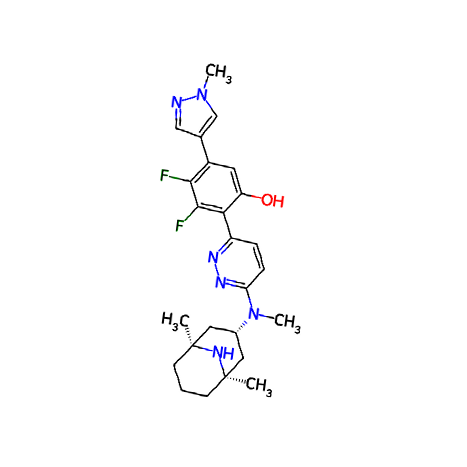 CN(c1ccc(-c2c(O)cc(-c3cnn(C)c3)c(F)c2F)nn1)[C@H]1C[C@]2(C)CCC[C@](C)(C1)N2